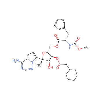 CC(C)(C)OC(=O)N[C@@H](Cc1ccccc1)C(=O)OC[C@H]1O[C@@](C#N)(c2ccc3c(N)ncnn23)[C@H](O)[C@@H]1OC(=O)CC1CCCCC1